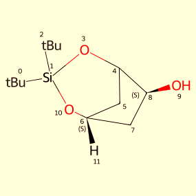 CC(C)(C)[Si]1(C(C)(C)C)OC2C[C@H](C[C@@H]2O)O1